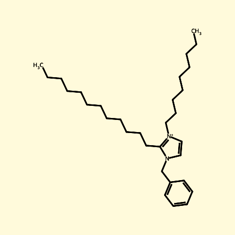 CCCCCCCCCCCCc1n(Cc2ccccc2)cc[n+]1CCCCCCCCC